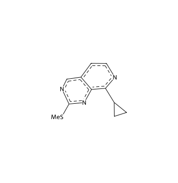 CSc1ncc2ccnc(C3CC3)c2n1